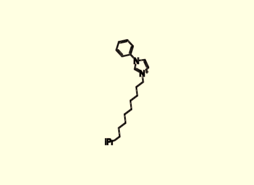 CC(C)CCCCCCCCC[n+]1ccn(-c2ccccc2)c1